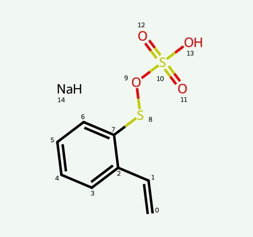 C=Cc1ccccc1SOS(=O)(=O)O.[NaH]